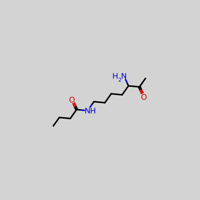 CCCC(=O)NCCCCC(N)C(C)=O